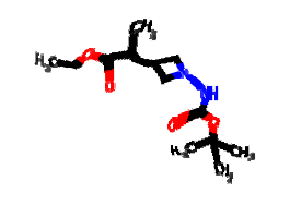 CCOC(=O)C(C)=C1CN(NC(=O)OC(C)(C)C)C1